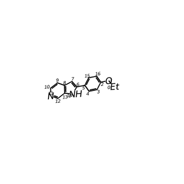 CCOc1ccc(-c2cc3ccncc3[nH]2)cc1